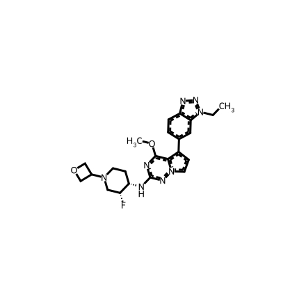 CCn1nnc2ccc(-c3ccn4nc(N[C@H]5CCN(C6COC6)C[C@H]5F)nc(OC)c34)cc21